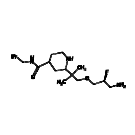 CC(C)CNC(=O)C1CCNC(C(C)(C)COC[C@@H](F)CN)C1